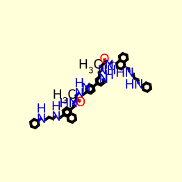 C[C@H](NCc1ccc(-c2ccnc(CN[C@@H](C)C(=O)NC[C@H]3CC[C@H](CNCCCNC4CCCCC4)C4CCCCC43)c2)cn1)C(=O)NCc1ccc(CNCCCNC2CCCCC2)c2c1CCCC2